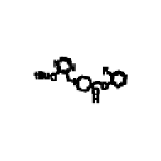 CC(C)(C)Oc1nccnc1CN1CCC(O)(COc2ccccc2F)CC1